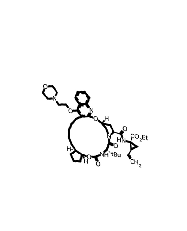 C=C[C@@H]1C[C@]1(NC(=O)[C@@H]1C[C@@H]2CN1C(=O)[C@H](C(C)(C)C)NC(=O)O[C@@H]1CCC[C@H]1CCCCCc1c(nc3ccccc3c1OCCN1CCOCC1)O2)C(=O)OCC